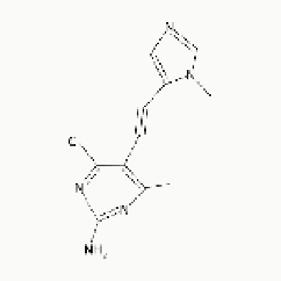 Cc1nc(N)nc(Cl)c1C#Cc1cncn1C